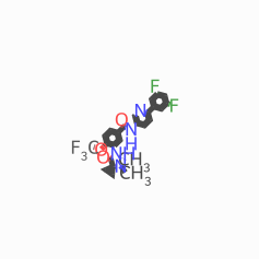 CN(C)C1(C(=O)Nc2cc(C(=O)Nc3ccc(-c4cc(F)cc(F)c4)nc3)ccc2OC(F)(F)F)CC1